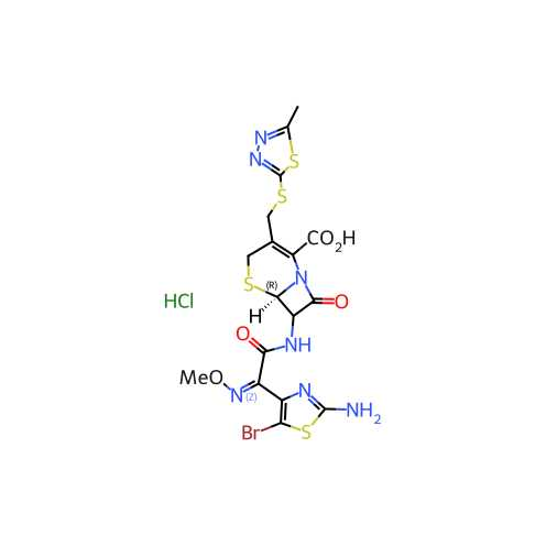 CO/N=C(\C(=O)NC1C(=O)N2C(C(=O)O)=C(CSc3nnc(C)s3)CS[C@H]12)c1nc(N)sc1Br.Cl